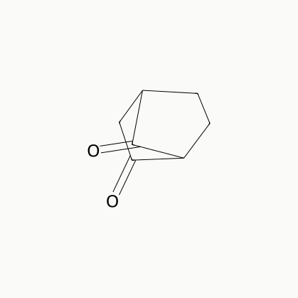 O=C1CC2CCC1C2=O